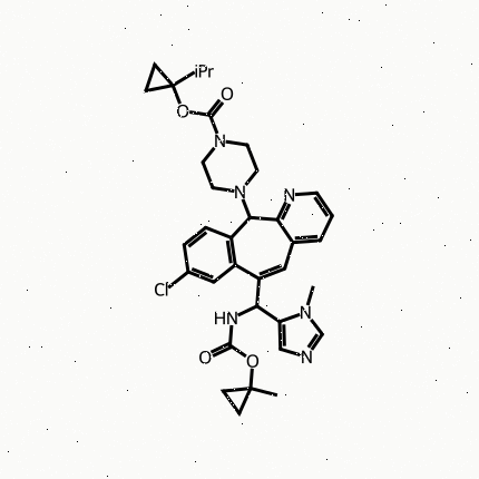 CC(C)C1(OC(=O)N2CCN(C3c4ccc(Cl)cc4C(C(NC(=O)OC4(C)CC4)c4cncn4C)=Cc4cccnc43)CC2)CC1